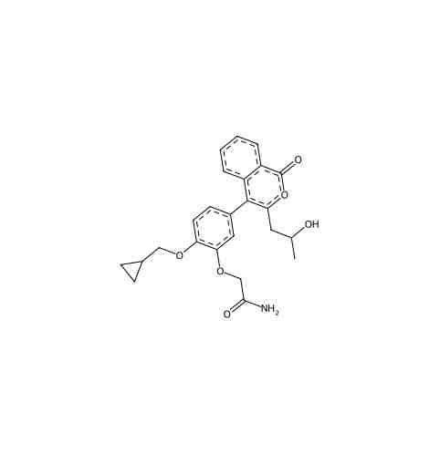 CC(O)Cc1oc(=O)c2ccccc2c1-c1ccc(OCC2CC2)c(OCC(N)=O)c1